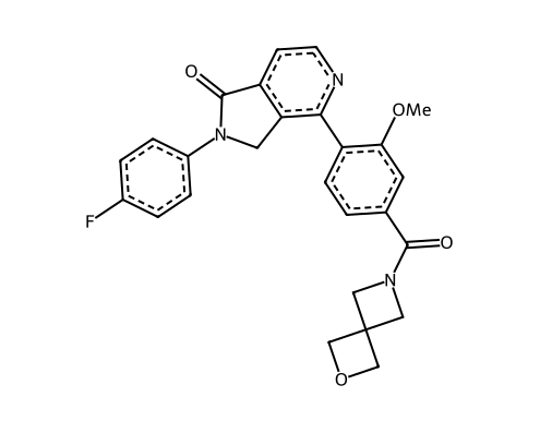 COc1cc(C(=O)N2CC3(COC3)C2)ccc1-c1nccc2c1CN(c1ccc(F)cc1)C2=O